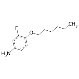 CCCCCCOc1ccc(N)cc1F